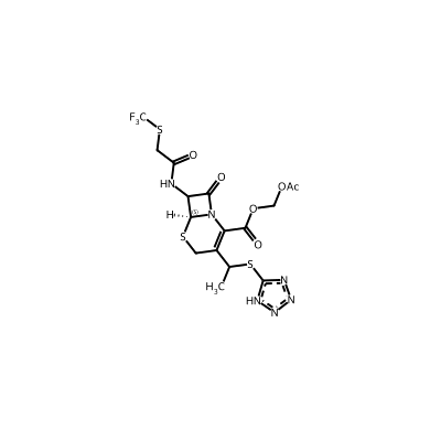 CC(=O)OCOC(=O)C1=C(C(C)Sc2nnn[nH]2)CS[C@H]2C(NC(=O)CSC(F)(F)F)C(=O)N12